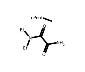 CCCCCC.CCN(CC)C(=O)C(N)=O